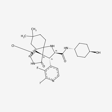 CC1(C)CCC2(CC1)N[C@@H](C(=O)N[C@H]1CC[C@H](O)CC1)[C@H](c1ccnc(I)c1F)[C@]21C(=O)Nc2cc(Cl)ccc21